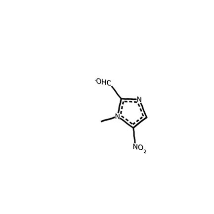 Cn1c([N+](=O)[O-])cnc1[C]=O